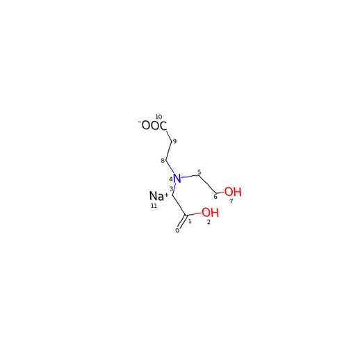 C=C(O)CN(CCO)CCC(=O)[O-].[Na+]